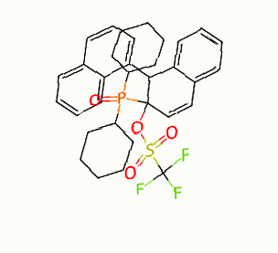 O=P(C1CCCCC1)(C1CCCCC1)C1(OS(=O)(=O)C(F)(F)F)C=Cc2ccccc2C1c1cccc2ccccc12